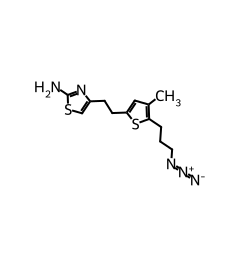 Cc1cc(CCc2csc(N)n2)sc1CCCN=[N+]=[N-]